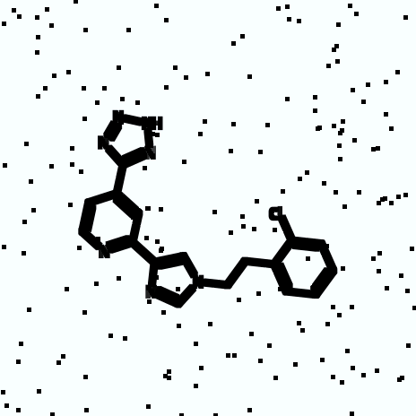 Clc1ccccc1CCn1cnc(-c2cc(-c3nn[nH]n3)ccn2)c1